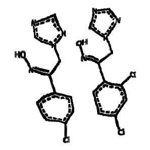 ON=C(Cn1cncn1)c1ccc(Cl)cc1.ON=C(Cn1cncn1)c1ccc(Cl)cc1Cl